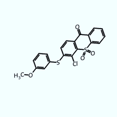 COc1cccc(Sc2ccc3c(c2Cl)S(=O)(=O)c2ccccc2C3=O)c1